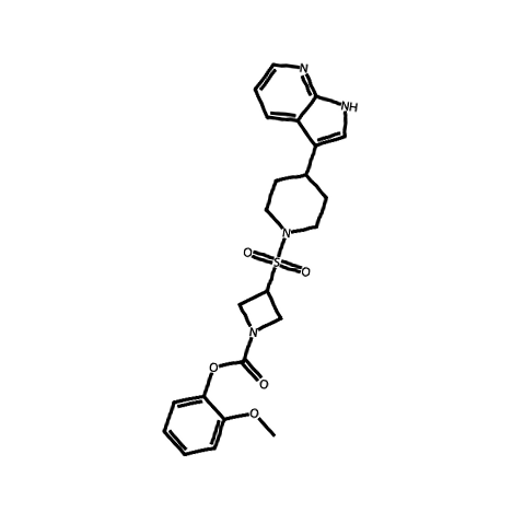 COc1ccccc1OC(=O)N1CC(S(=O)(=O)N2CCC(c3c[nH]c4ncccc34)CC2)C1